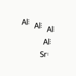 [Al].[Al].[Al].[Al].[Sr]